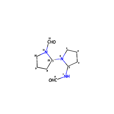 O=CNC1CCCN1[C@@H]1CCCN1C=O